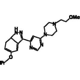 COCCN1CCN(c2cc(C3=NNC4CC=C(OC(C)C)C=C34)ncn2)CC1